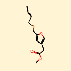 CCCCSCc1cc(CC(=O)OC)co1